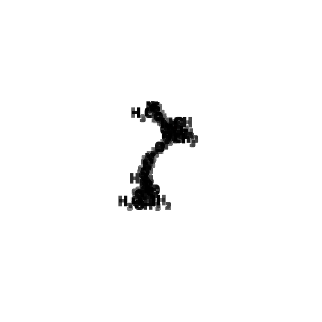 C=CCn1c(=O)c2cnc(Nc3ccc(N4CCN(CCCCOCCCC(=O)N[C@H](C(=O)N5CC(O)CC5C(=O)NCc5ccc(-c6scnc6C)cc5)C(C)(C)C)CC4)cc3)nc2n1-c1cccc(C(C)(C)O)n1